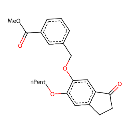 CCCCCOc1cc2c(cc1OCc1cccc(C(=O)OC)c1)C(=O)CC2